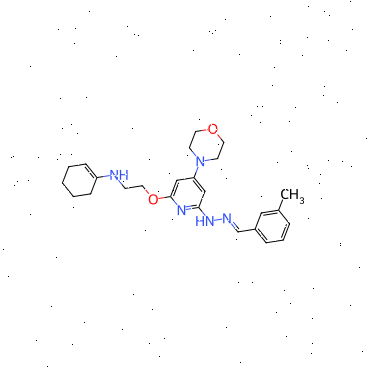 Cc1cccc(C=NNc2cc(N3CCOCC3)cc(OCCNC3=CCCCC3)n2)c1